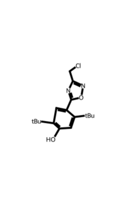 CC(C)(C)c1cc(-c2nc(CCl)no2)c(C(C)(C)C)cc1O